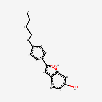 CCCCCc1ccc(-c2cc3ccc(O)cc3o2)cc1